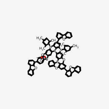 Cc1cc(C)c(N2c3cc4c(cc3B3c5cc6c(cc5N(c5c(C)cc(C)cc5C)c5cc(-c7cccc8c7oc7ccccc78)cc2c53)Oc2cc(-c3cccc5c3oc3ccccc35)cc3c2B6c2ccccc2O3)B2c3ccccc3Oc3cc(-c5cccc6c5oc5ccccc56)cc(c32)O4)c(C)c1